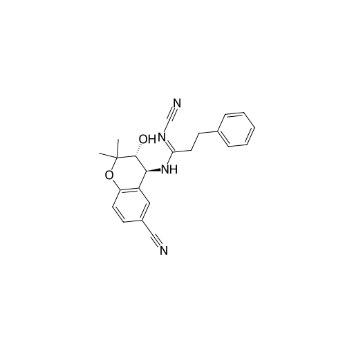 CC1(C)Oc2ccc(C#N)cc2[C@H](NC(CCc2ccccc2)=NC#N)[C@H]1O